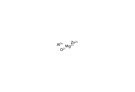 [Al+3].[Mg+2].[O-2].[Zn+2]